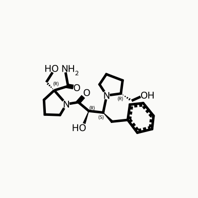 NC(=O)[C@]1(CO)CCCN1C(=O)[C@H](O)[C@H](Cc1ccccc1)N1CCC[C@@H]1CO